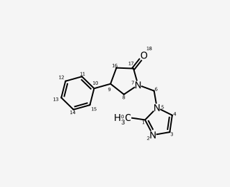 Cc1nccn1CN1CC(c2ccccc2)CC1=O